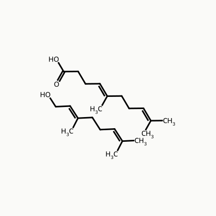 CC(C)=CCC/C(C)=C/CCC(=O)O.CC(C)=CCC/C(C)=C/CO